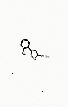 CCCCCCC1CC(c2ccccc2C(C)=O)OO1